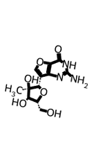 C[C@@]1(O)[C@H](O)[C@@H](CO)O[C@H]1c1coc2c(=O)[nH]c(N)nc12